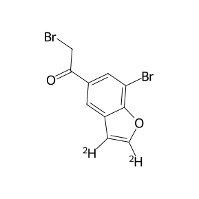 [2H]c1oc2c(Br)cc(C(=O)CBr)cc2c1[2H]